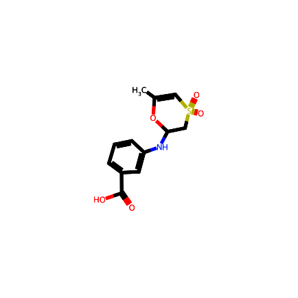 CC1=CS(=O)(=O)CC(Nc2cccc(C(=O)O)c2)O1